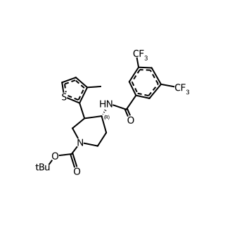 Cc1ccsc1C1CN(C(=O)OC(C)(C)C)CC[C@H]1NC(=O)c1cc(C(F)(F)F)cc(C(F)(F)F)c1